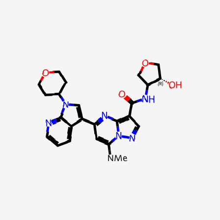 CNc1cc(-c2cn(C3CCOCC3)c3ncccc23)nc2c(C(=O)NC3COC[C@@H]3O)cnn12